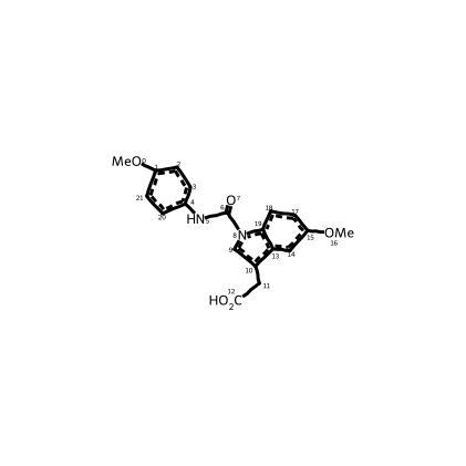 COc1ccc(NC(=O)n2cc(CC(=O)O)c3cc(OC)ccc32)cc1